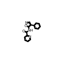 O=C(Nc1oncc1-c1ccccc1)c1ccccn1